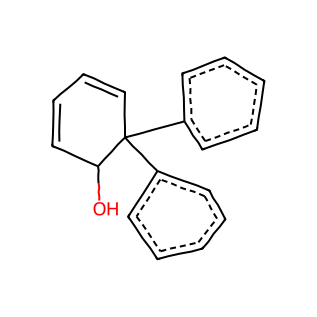 OC1C=CC=CC1(c1ccccc1)c1ccccc1